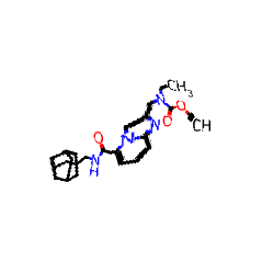 C#COC(=O)N(CC)Cc1cn2c(C(=O)NCC34CC5CC(CC(C5)C3)C4)cccc2n1